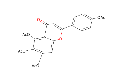 CC(=O)Oc1ccc(-c2cc(=O)c3c(OC(C)=O)c(OC(C)=O)c(OC(C)=O)cc3o2)cc1